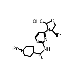 CC(C)C1COC(C=O)N1c1ccnc(N[C@@H](C)C2CCN(C(C)C)CC2)n1